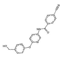 N#Cc1ccc(C(=O)Nc2ccc(Oc3ccc(CO)cc3)nc2)cc1